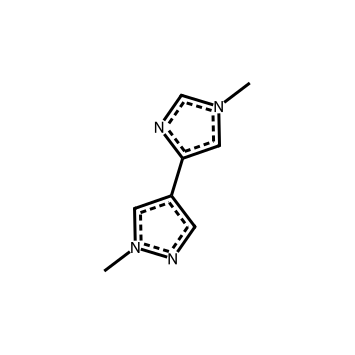 Cn1cnc(-c2cnn(C)c2)c1